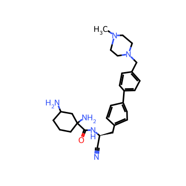 CN1CCN(Cc2ccc(-c3ccc(C[C@@H](C#N)NC(=O)C4(N)CCCC(N)C4)cc3)cc2)CC1